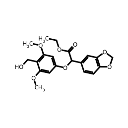 CCOC(=O)C(Oc1cc(OC)c(CO)c(OC)c1)c1ccc2c(c1)OCO2